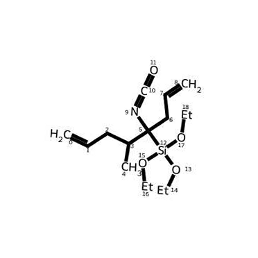 C=CCC(C)C(CC=C)(N=C=O)[Si](OCC)(OCC)OCC